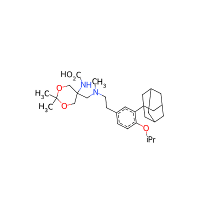 CC(C)Oc1ccc(CCN(C)CC2(NC(=O)O)COC(C)(C)OC2)cc1C12CC3CC(CC(C3)C1)C2